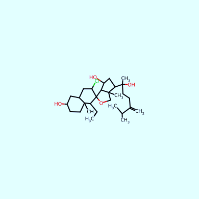 C=C(CCC(C)(O)C1CC(O)C2C1(C)COC21C(Cl)CC2CC(O)CCC2(C)C1CC)C(C)C